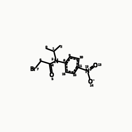 CC(C)N(C(=O)CBr)c1ccc([N+](=O)[O-])cc1